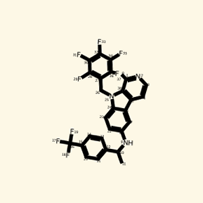 Cc1nccc2c3cc(NC(C)c4ccc(C(F)(F)F)cc4)ccc3n(Cc3c(F)c(F)c(F)c(F)c3F)c12